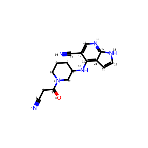 N#CCC(=O)N1CCCC(Nc2c(C#N)cnc3[nH]ccc23)C1